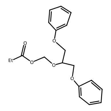 CCC(=O)OCOC(COc1ccccc1)COc1ccccc1